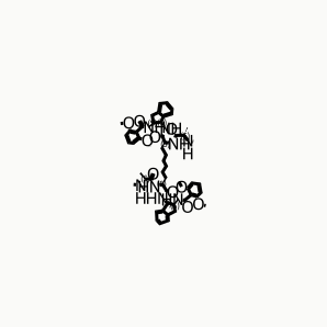 CN[C@@H](C)C(=O)N[C@@H](CCCCCC[C@H](NC(=O)[C@H](C)NC)C(=O)N[C@H]1c2ccccc2C[C@@H]1NC(=O)c1c(OC)cccc1OC)C(=O)N[C@H]1c2ccccc2C[C@@H]1NC(=O)c1c(OC)cccc1OC